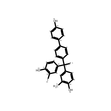 Cc1cc(C(F)(c2ccc(-c3ccc(O)cc3)cc2)c2ccc(O)c(I)c2)ccc1O